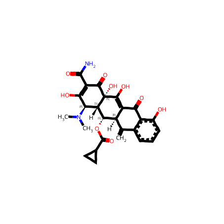 C=C1c2cccc(O)c2C(=O)C2=C(O)[C@]3(O)C(=O)C(C(N)=O)=C(O)[C@H](N(C)C)[C@H]3[C@@H](OC(=O)C3CC3)[C@H]12